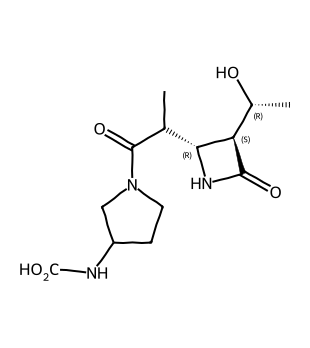 CC(C(=O)N1CCC(NC(=O)O)C1)[C@H]1NC(=O)[C@@H]1[C@@H](C)O